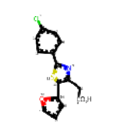 O=C(O)Cc1nc(-c2ccc(Cl)cc2)sc1-c1ccco1